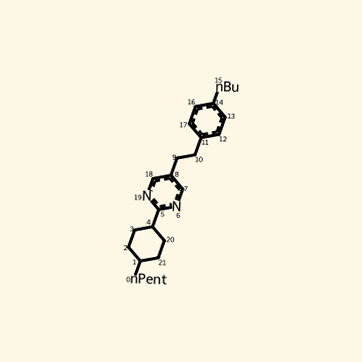 CCCCCC1CCC(c2ncc(CCc3ccc(CCCC)cc3)cn2)CC1